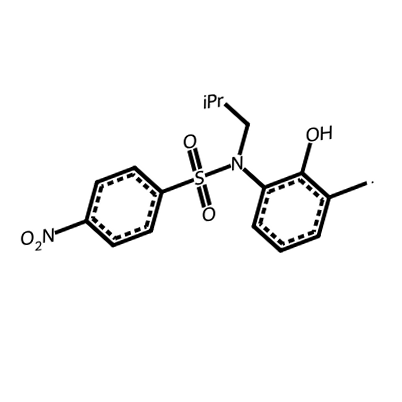 [CH2]c1cccc(N(CC(C)C)S(=O)(=O)c2ccc([N+](=O)[O-])cc2)c1O